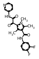 Cc1c(C(=O)Nc2ccc(F)c(F)c2)c(C)n(C)c1C(=O)C(=O)Nc1cccnc1